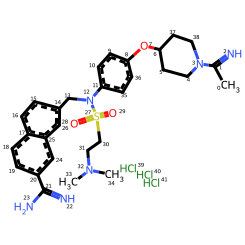 CC(=N)N1CCC(Oc2ccc(N(Cc3ccc4ccc(C(=N)N)cc4c3)S(=O)(=O)CCN(C)C)cc2)CC1.Cl.Cl.Cl